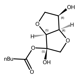 CCCCC(=O)O[C@@]1(O)CO[C@@H]2[C@H](O)CO[C@@H]21